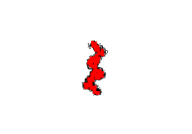 c1ccc(-c2ccc(-c3nc(-c4ccc(-c5cccc6c5-c5ccccc5C65c6ccccc6Oc6cc(-c7ccc8c(c7)Oc7ccccc7C87c8ccccc8-c8c(-c9ccc(-c%10nc(-c%11ccc(-c%12ccccc%12)cc%11)c%11ccccc%11n%10)cc9)cccc87)ccc65)cc4)c4ccccc4n3)cc2)cc1